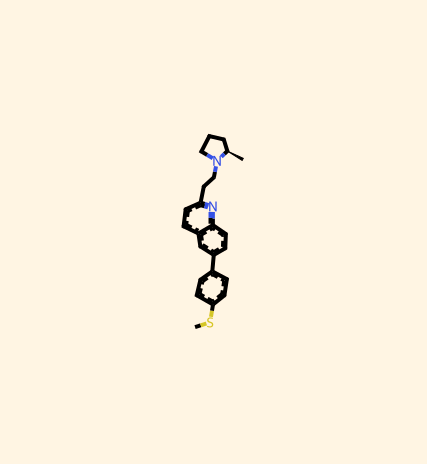 CSc1ccc(-c2ccc3nc(CCN4CCC[C@H]4C)ccc3c2)cc1